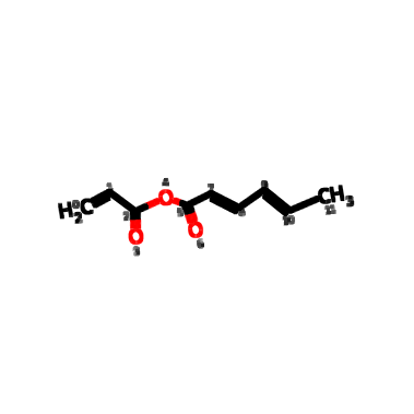 C=CC(=O)OC(=O)/C=C/C=C/C